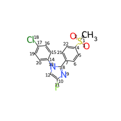 CS(=O)(=O)c1ccc(-c2nc(F)cn2-c2ccc(Cl)cc2)cc1